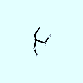 CCOC(CI)OCC